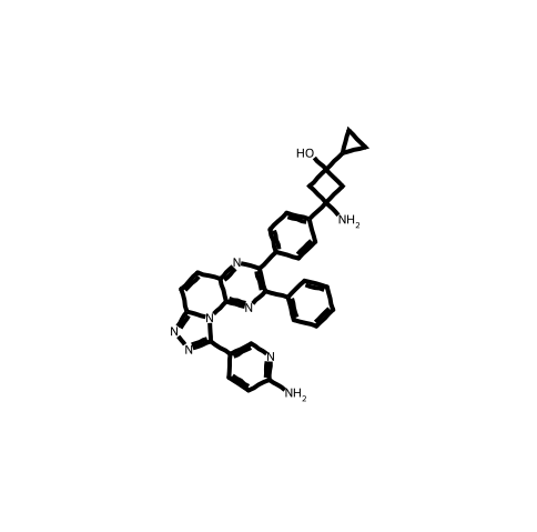 Nc1ccc(-c2nnc3ccc4nc(-c5ccc(C6(N)CC(O)(C7CC7)C6)cc5)c(-c5ccccc5)nc4n23)cn1